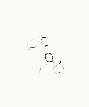 CC(C)(C)CN(CC(F)F)[C@H](C(N)=O)C(=O)Nc1ccc(N2CCOCC2=O)c(OC(F)F)c1